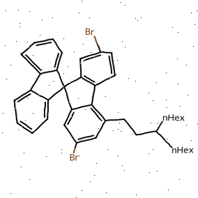 CCCCCCC(CCCCCC)CCc1cc(Br)cc2c1-c1ccc(Br)cc1C21c2ccccc2-c2ccccc21